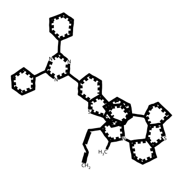 C=C/C=C\c1c(C)n(-c2cccc3sc4cccc(-c5ccc6sc7cc(-c8nc(-c9ccccc9)nc(-c9ccccc9)n8)ccc7c6c5)c4c23)c2ccccc12